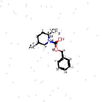 CC(=O)C1CC[C@@H](C(F)(F)F)N(C(=O)OCc2ccccc2)C1